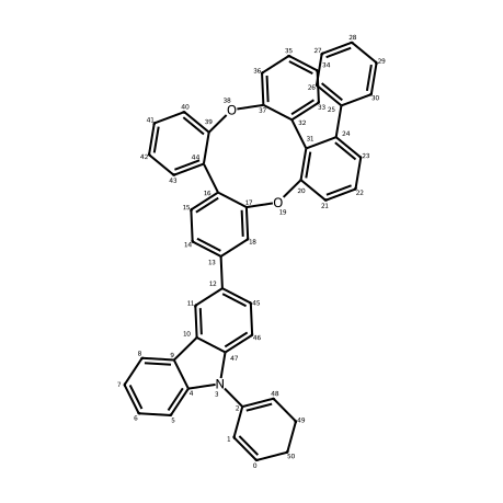 C1=CC(n2c3ccccc3c3cc(-c4ccc5c(c4)Oc4cccc(-c6ccccc6)c4-c4ccccc4Oc4ccccc4-5)ccc32)=CCC1